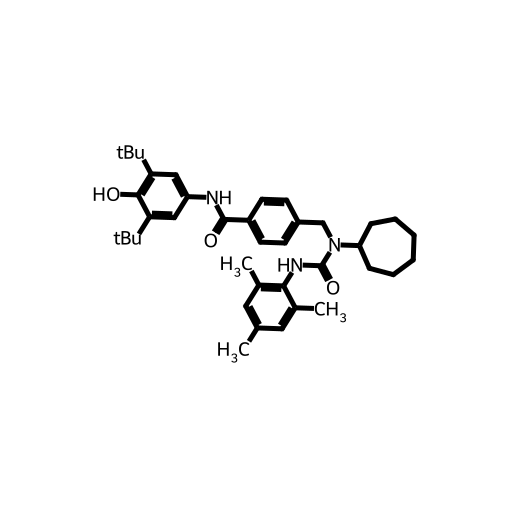 Cc1cc(C)c(NC(=O)N(Cc2ccc(C(=O)Nc3cc(C(C)(C)C)c(O)c(C(C)(C)C)c3)cc2)C2CCCCCC2)c(C)c1